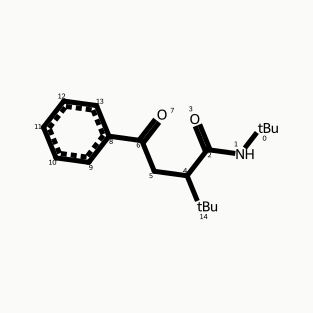 CC(C)(C)NC(=O)C(CC(=O)c1ccccc1)C(C)(C)C